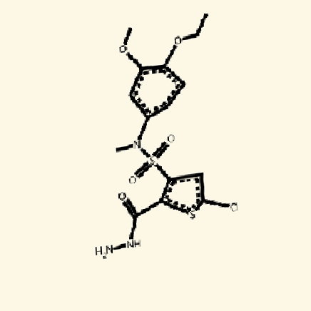 CCOc1ccc(N(C)S(=O)(=O)c2cc(Cl)sc2C(=O)NN)cc1OC